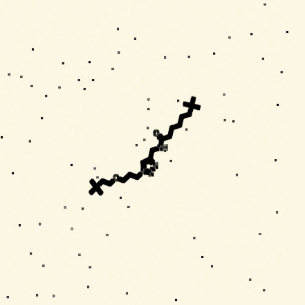 CC(C)(C)CCCCCC(=O)NCc1cn(CCCOCCC(C)(C)C)nn1